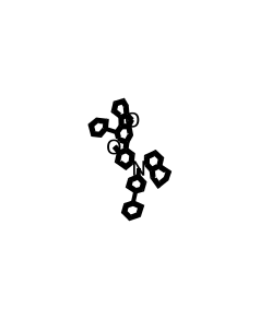 c1ccc(-c2ccc(N(c3ccc4oc5c(-c6ccccc6)c6c(cc5c4c3)oc3ccccc36)c3cccc4ccccc34)cc2)cc1